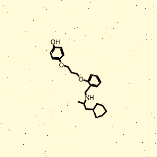 CC(CC1CCCCC1)NCc1ccccc1OCCCOc1ccc(O)cc1